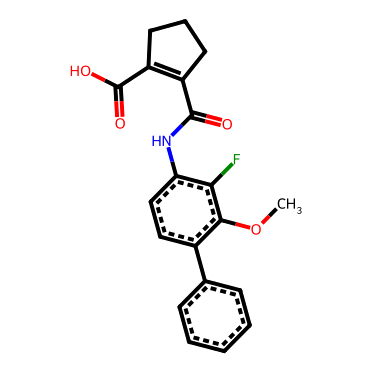 COc1c(-c2ccccc2)ccc(NC(=O)C2=C(C(=O)O)CCC2)c1F